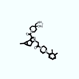 Cc1cccc(N2CCN(C(=O)Cn3nc(C(=O)N4CCC(O)(CN)CC4)c4c3CC3C(C)C43)CC2)c1C